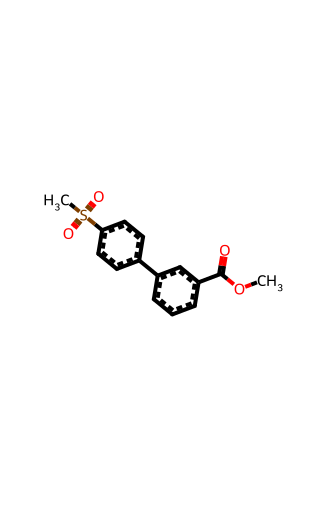 COC(=O)c1cccc(-c2ccc(S(C)(=O)=O)cc2)c1